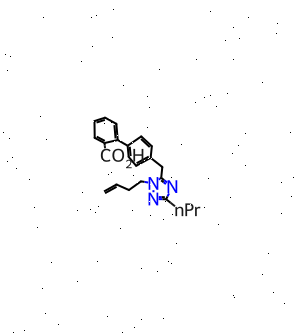 C=CCCn1nc(CCC)nc1Cc1ccc(-c2ccccc2C(=O)O)cc1